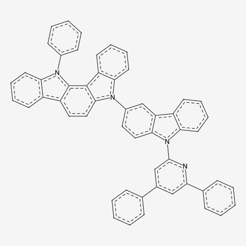 c1ccc(-c2cc(-c3ccccc3)nc(-n3c4ccccc4c4cc(-n5c6ccccc6c6c5ccc5c7ccccc7n(-c7ccccc7)c56)ccc43)c2)cc1